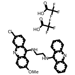 COc1ccc2nc3cc(Cl)ccc3c(NCCNc3c4ccccc4nc4ccccc34)c2c1.O=C(O)C(F)(F)F.O=C(O)C(F)(F)F